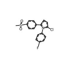 CS(=O)(=O)c1ccc(-c2ccc(Cl)n2-c2ccc(F)cc2)cc1